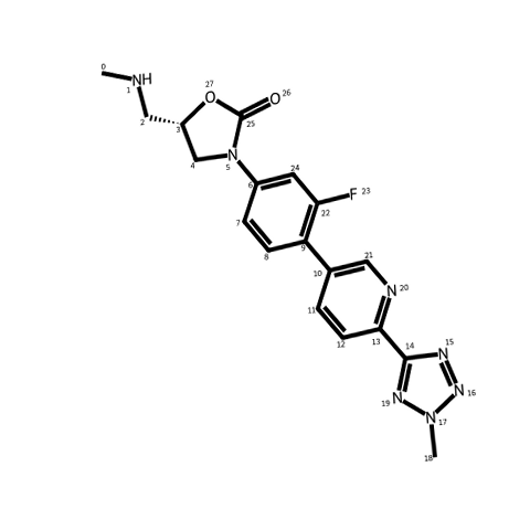 CNC[C@H]1CN(c2ccc(-c3ccc(-c4nnn(C)n4)nc3)c(F)c2)C(=O)O1